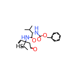 C=CC(CC=O)(NC(=O)[C@@H](NC(=O)OCc1ccccc1)C(C)C)[SiH](C)C